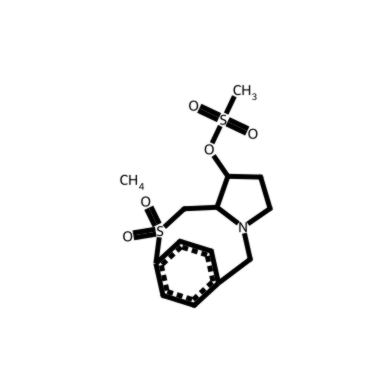 C.CS(=O)(=O)OC1CCN2Cc3ccc(cc3)S(=O)(=O)CC12